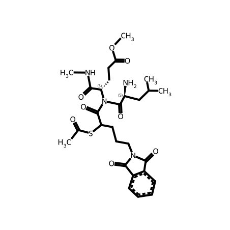 CNC(=O)[C@H](CCC(=O)OC)N(C(=O)C(CCCN1C(=O)c2ccccc2C1=O)SC(C)=O)C(=O)[C@@H](N)CC(C)C